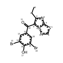 CCc1nc2scnn2c1C(=O)c1cc(Br)c(O)c(Br)c1